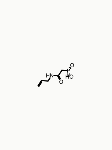 C=CCNC(=O)C[PH](=O)O